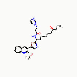 CCC(=O)CCCCCC(NC(=O)CCn1ccnc1)c1ncc(-c2cc3ccccc3nc2OC)o1